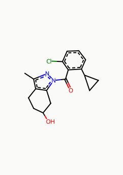 Cc1nn(C(=O)c2c(Cl)cccc2C2CC2)c2c1CCC(O)C2